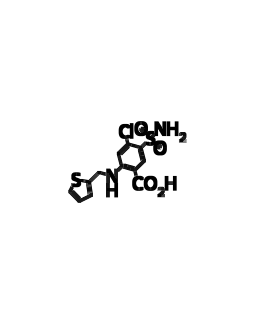 NS(=O)(=O)c1cc(C(=O)O)c(NCc2cccs2)cc1Cl